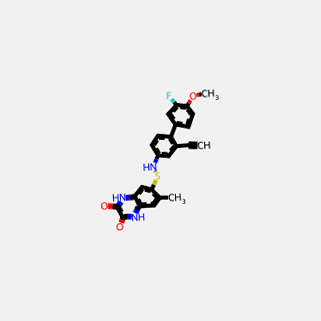 C#Cc1cc(NSc2cc3[nH]c(=O)c(=O)[nH]c3cc2C)ccc1-c1ccc(OC)c(F)c1